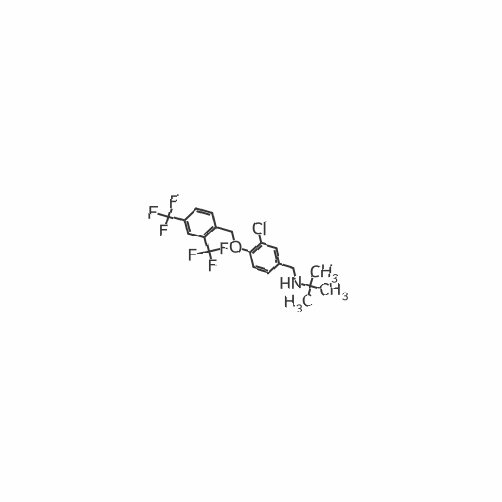 CC(C)(C)NCc1ccc(OCc2ccc(C(F)(F)F)cc2C(F)(F)F)c(Cl)c1